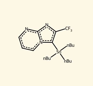 CCC[CH2][Sn]([CH2]CCC)([CH2]CCC)[c]1c(C(F)(F)F)nc2ncccn12